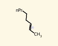 C[CH]CCC/C=C/C